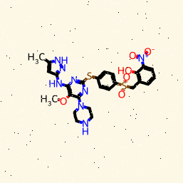 COc1c(Nc2cc(C)[nH]n2)nc(Sc2ccc(S(=O)(=O)Cc3cccc([N+](=O)[O-])c3O)cc2)nc1N1CCNCC1